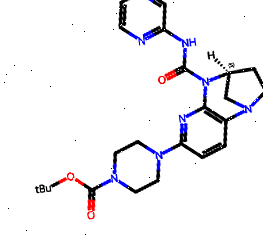 CC(C)(C)OC(=O)N1CCN(c2ccc3c(n2)N(C(=O)Nc2cnccn2)[C@H]2CCN3C2)CC1